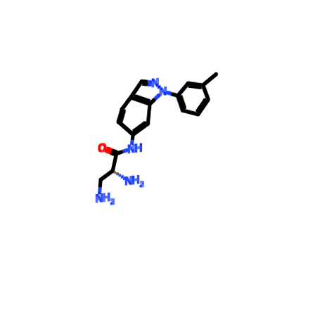 Cc1cccc(-n2ncc3ccc(NC(=O)[C@H](N)CN)cc32)c1